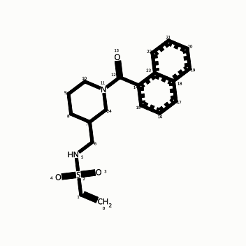 C=CS(=O)(=O)NCC1CCCN(C(=O)c2cccc3ccccc23)C1